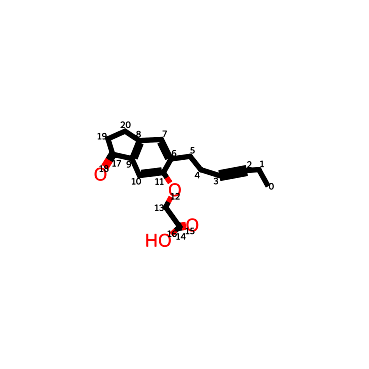 CCC#CCCc1cc2c(cc1OCC(=O)O)C(=O)CC2